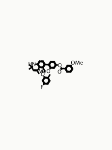 COc1cccc(C(=O)Oc2ccc(-c3ccc4c(c3COc3cc(F)ccc3C)C(C)=CC(C)(C)N4)c(OC)c2)c1